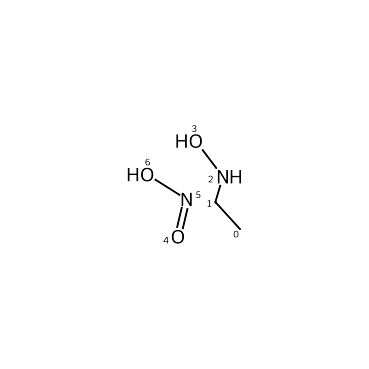 CCNO.O=NO